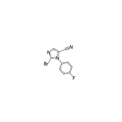 N#Cc1cnc(Br)n1-c1ccc(F)cc1